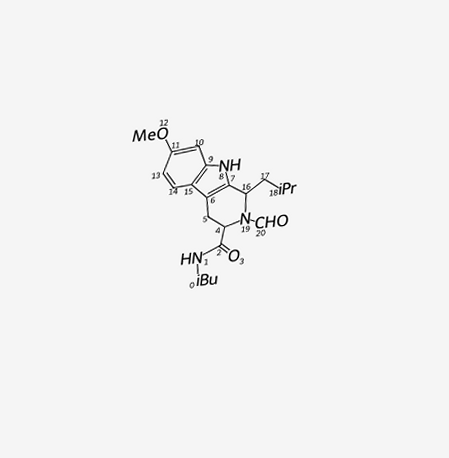 CCC(C)NC(=O)C1Cc2c([nH]c3cc(OC)ccc23)C(CC(C)C)N1C=O